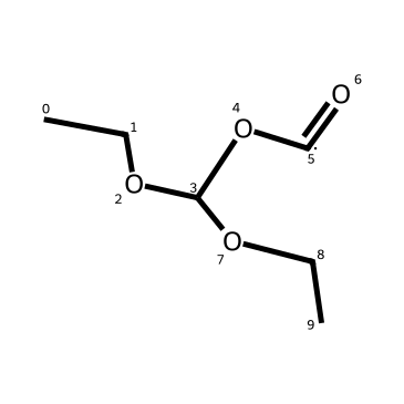 CCOC(O[C]=O)OCC